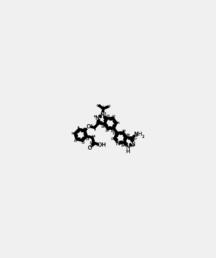 CC(C)n1nc(COc2ccccc2CC(=O)O)c2cc(-c3cnc4[nH]nc(N)c4c3)ccc21